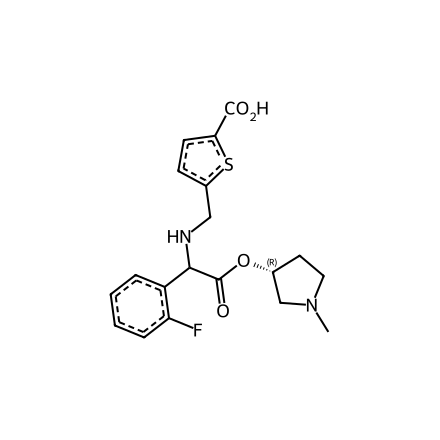 CN1CC[C@@H](OC(=O)C(NCc2ccc(C(=O)O)s2)c2ccccc2F)C1